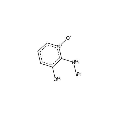 CC(C)Nc1c(O)ccc[n+]1[O-]